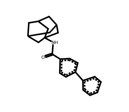 O=C(NC12CC3CC(CC(C3)C1)C2)c1ccc(-c2ccccc2)cc1